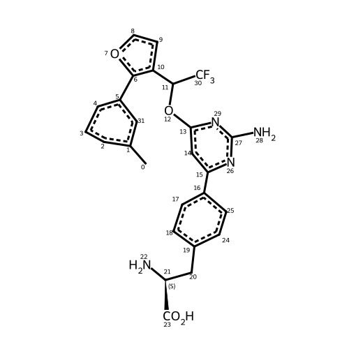 Cc1cccc(-c2occc2C(Oc2cc(-c3ccc(C[C@H](N)C(=O)O)cc3)nc(N)n2)C(F)(F)F)c1